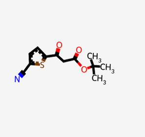 CC(C)(C)OC(=O)CC(=O)c1ccc(C#N)s1